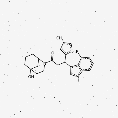 C.O=C(CC(c1cccs1)c1c[nH]c2cccc(F)c12)N1CCC2(O)CCCC1C2